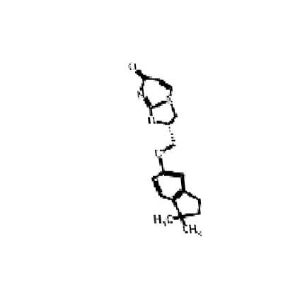 CC1(C)CCc2cc(OC[C@H]3Cn4ccc(=O)nc4O3)ccc21